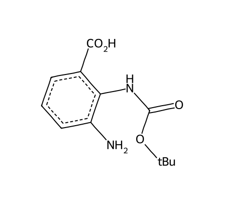 CC(C)(C)OC(=O)Nc1c(N)cccc1C(=O)O